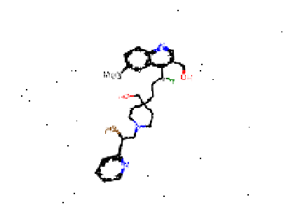 COc1ccc2ncc(CO)c([C@@H](F)CCC3(CO)CCN(CC(S)c4ccccn4)CC3)c2c1